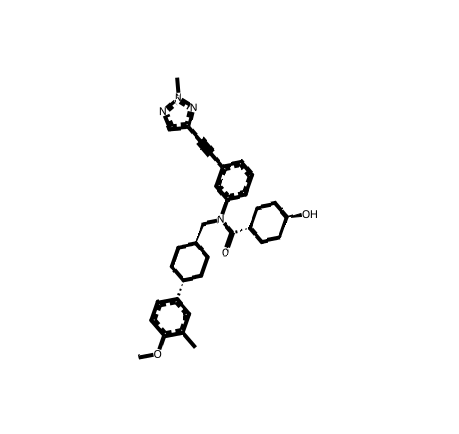 COc1ccc([C@H]2CC[C@H](CN(c3cccc(C#Cc4cnn(C)n4)c3)C(=O)[C@H]3CC[C@H](O)CC3)CC2)cc1C